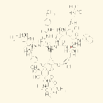 CN[C@H](CC(C)C)C(=O)N[C@H]1C(=O)N[C@@H](CC(=O)NC(=O)Nc2ccc(OC)cc2)C(=O)N[C@H]2C(=O)N[C@H]3C(=O)N[C@H](C(=O)N[C@H](C(=O)NC4C5CC6CC(C5)CC4C6)c4cc(O)c(CNCCNC(C)=O)c(O)c4-c4cc3ccc4O)[C@H](O)c3ccc(c(Cl)c3)Oc3cc2cc(c3O[C@@H]2O[C@H](CO)[C@@H](O)[C@H](O)[C@H]2O[C@H]2C[C@](C)(N)[C@H](O)[C@H](C)O2)Oc2ccc(cc2C)[C@H]1O